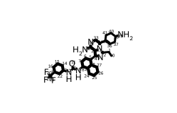 CCc1nc(-c2ccc(NC(=O)Nc3cccc(C(F)(F)F)c3)c3ccccc23)c2c(N)ncc(C3=CCC(N)CC3)n12